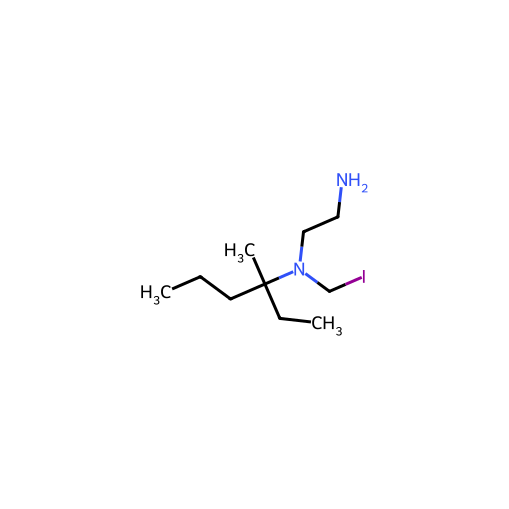 CCCC(C)(CC)N(CI)CCN